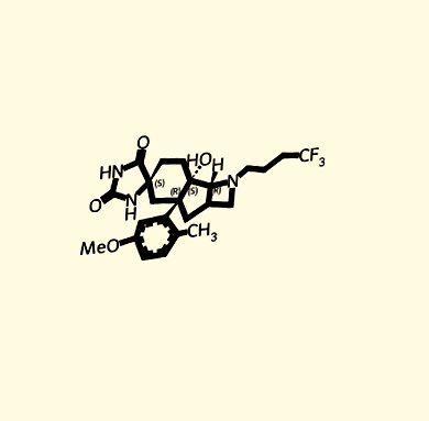 COc1ccc(C)c([C@]23CC4CN(CCCC(F)(F)F)[C@H]4[C@]2(O)CC[C@@]2(C3)NC(=O)NC2=O)c1